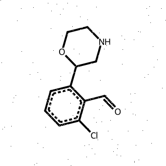 O=Cc1c(Cl)cccc1C1CNCCO1